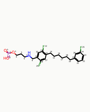 O=[PH](O)OCCCNCc1cc(F)c(CCCCCCc2cccc(F)c2)cc1F